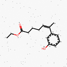 CCOC(=O)CCC/C=C(/C)c1cccc(O)c1